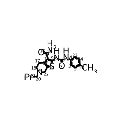 Cc1ccc(NC(=O)Nc2sc3c(c2C(N)=O)CCN(CC(C)C)C3)cc1